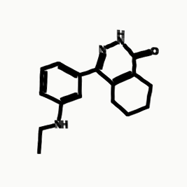 CCNc1cccc(-c2n[nH]c(=O)c3c2CCCC3)c1